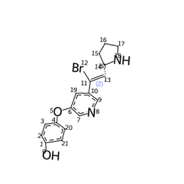 Oc1ccc(Oc2cncc(/C(Br)=C/[C@@H]3CCCN3)c2)cc1